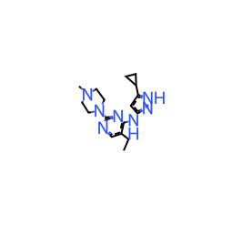 CCc1cnc(N2CCN(C)CC2)nc1Nc1cc(C2CC2)[nH]n1